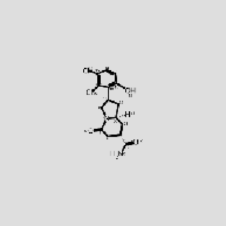 NC(=O)[C@@H]1CC(=O)N2C[C@@H](c3c(O)ccc(Cl)c3Cl)C[C@H]2C1